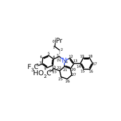 CC(C)CC[C@@H](c1ccc(C(F)(F)F)cc1)n1cc(-c2ccccc2)c2c1C(CC(=O)O)CCC2